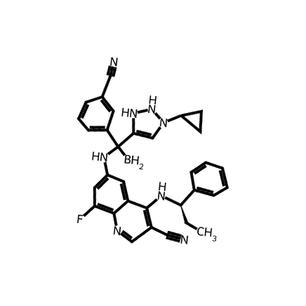 BC(Nc1cc(F)c2ncc(C#N)c(N[C@H](CC)c3ccccc3)c2c1)(C1=CN(C2CC2)NN1)c1cccc(C#N)c1